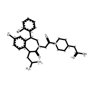 CC(C)CC1C(=O)N(CC(=O)N2CCC(CC(=O)O)CC2)CC(c2ccccc2Br)c2cc(Cl)ccc21